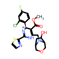 COC(=O)C1=C(CN2C3COCC2C(O)C3)NC(c2nccs2)=N[C@H]1c1ccc(F)cc1Cl